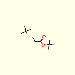 CC(C)(C)OC(=O)CCSC(C)(C)C